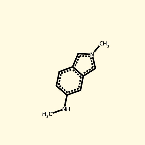 CNc1ccc2cn(C)cc2c1